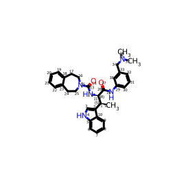 C[C@@H](c1c[nH]c2ccccc12)[C@@H](NC(=O)N1CCc2ccccc2CC1)C(=O)Nc1cccc(CN(C)C)c1